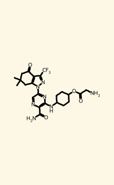 CC1(C)CC(=O)c2c(C(F)(F)F)nn(-c3cnc(C(N)=O)c(NC4CCC(OC(=O)CN)CC4)n3)c2C1